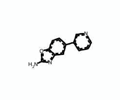 Nc1nc2cc(-c3cccnc3)ccc2o1